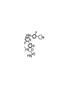 CNC(=O)C1CN(C(C)C)c2cc(-c3nc(Nc4ccc(C5CCN(C)CC5)c(F)c4)ncc3F)cc(F)c2O1